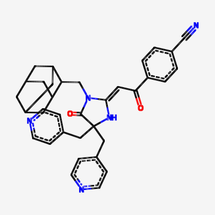 N#Cc1ccc(C(=O)/C=C2\NC(Cc3ccncc3)(Cc3ccncc3)C(=O)N2CC2C3CC4CC(C3)CC2C4)cc1